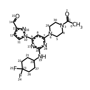 CC(=O)N1CCN(c2cc(-n3ccc(C=O)n3)nc(NC3CCC(F)(F)CC3)n2)CC1